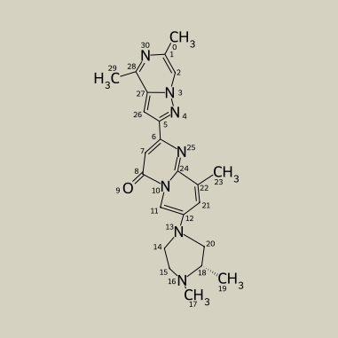 Cc1cn2nc(-c3cc(=O)n4cc(N5CCN(C)[C@@H](C)C5)cc(C)c4n3)cc2c(C)n1